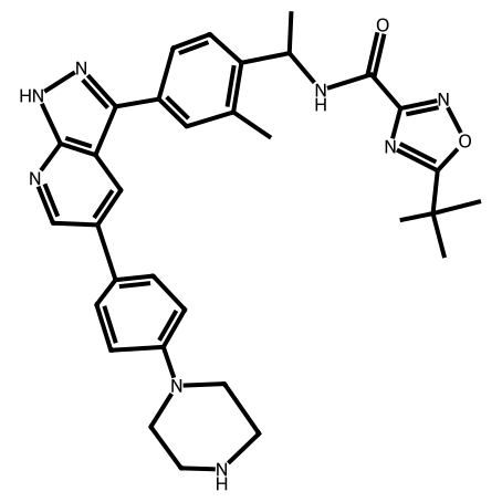 Cc1cc(-c2n[nH]c3ncc(-c4ccc(N5CCNCC5)cc4)cc23)ccc1C(C)NC(=O)c1noc(C(C)(C)C)n1